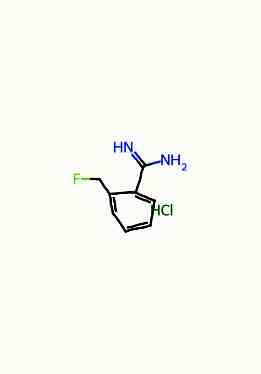 Cl.N=C(N)c1ccccc1CF